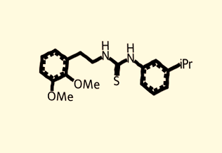 COc1cccc(CCNC(=S)Nc2cccc(C(C)C)c2)c1OC